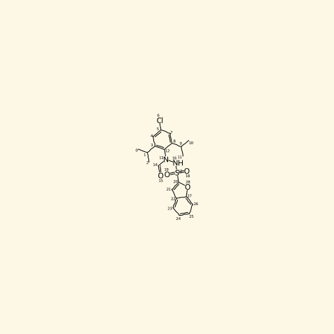 CC(C)c1cc(Cl)cc(C(C)C)c1N([C]=O)NS(=O)(=O)c1cc2ccccc2o1